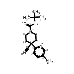 CC(C)(C)OC(=O)N1CCC(C#N)(c2ccc(N)cn2)CC1